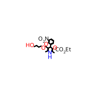 CCOC(=O)OC1=C(C)NC(C)=C(C(=O)OCCCCO)C1c1cccc([N+](=O)[O-])c1